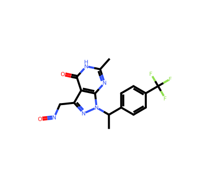 Cc1nc2c(c(CN=O)nn2C(C)c2ccc(C(F)(F)F)cc2)c(=O)[nH]1